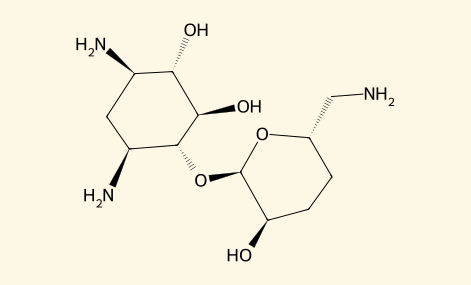 NC[C@@H]1CC[C@@H](O)[C@@H](O[C@H]2[C@H](O)[C@@H](O)[C@H](N)C[C@@H]2N)O1